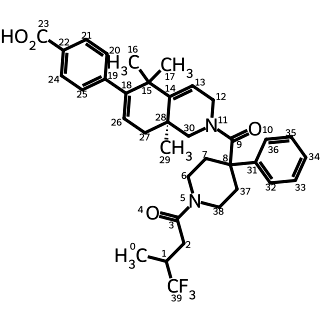 CC(CC(=O)N1CCC(C(=O)N2CC=C3C(C)(C)C(c4ccc(C(=O)O)cc4)=CC[C@]3(C)C2)(c2ccccc2)CC1)C(F)(F)F